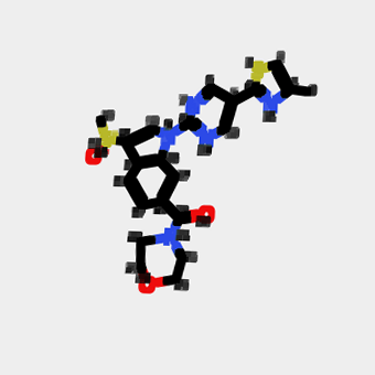 Cc1csc(-c2cnc(-n3cc([S+](C)[O-])c4ccc(C(=O)N5CCOCC5)cc43)nc2)n1